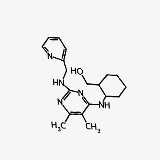 Cc1nc(NCc2ccccn2)nc(NC2CCCCC2CO)c1C